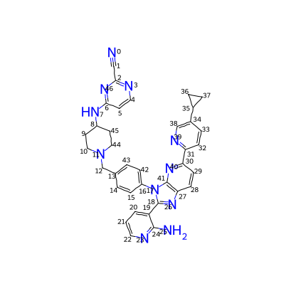 N#Cc1nccc(NC2CCN(Cc3ccc(-n4c(-c5cccnc5N)nc5ccc(-c6ccc(C7CC7)cn6)nc54)cc3)CC2)n1